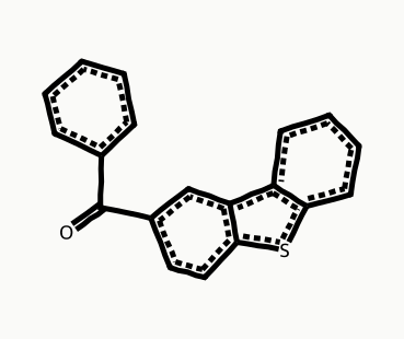 O=C(c1ccccc1)c1ccc2sc3ccccc3c2c1